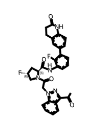 CC(=O)c1nn(CC(=O)N2C[C@H](F)C[C@H]2C(=O)Nc2cccc(-c3ccc4c(c3)CCC(=O)N4)c2F)c2ccccc12